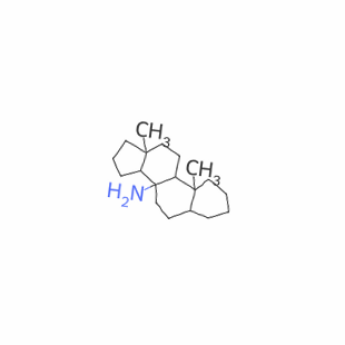 CC12CCCC1C1(N)CCC3CCCCC3(C)C1CC2